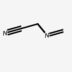 C=NCC#N